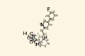 CN(C[C@H]1C[C@H]2CCCC[C@H]2[C@@H]1/C=C/c1ccc(-c2cccc(F)c2)cn1)S(C)(=O)=O